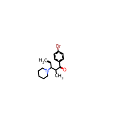 C=CC(C(C)C(=O)c1ccc(Br)cc1)N1CCCCC1